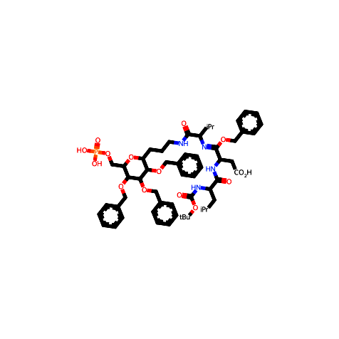 CC(C)CC(NC(=O)OC(C)(C)C)C(=O)NC(CC(=O)O)C(=NC(C(=O)NCCCC1OC(COP(=O)(O)O)C(OCc2ccccc2)C(OCc2ccccc2)C1OCc1ccccc1)C(C)C)OCc1ccccc1